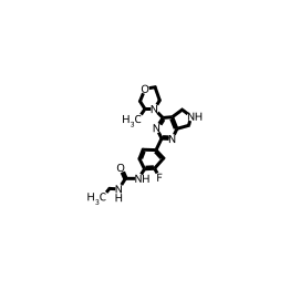 CCNC(=O)Nc1ccc(-c2nc3c(c(N4CCOCC4C)n2)CNC3)cc1F